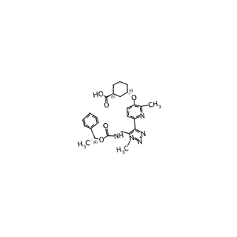 Cc1nc(-c2nnn(C)c2CNC(=O)O[C@H](C)c2ccccc2)ccc1O[C@H]1CCC[C@H](C(=O)O)C1